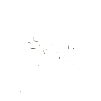 CCC(=O)O[C@@]1(C)C[C@H]2[C@@H]3C[C@H](F)C4=C(F)C(=O)C=C[C@]4(C)[C@@]3(F)[C@@H](O)C[C@]2(C)[C@H]1C(=O)OCCF